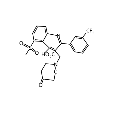 CS(=O)(=O)c1cccc2nc(-c3cccc(C(F)(F)F)c3)c(CN3CCC(=O)CC3)c(C(=O)O)c12